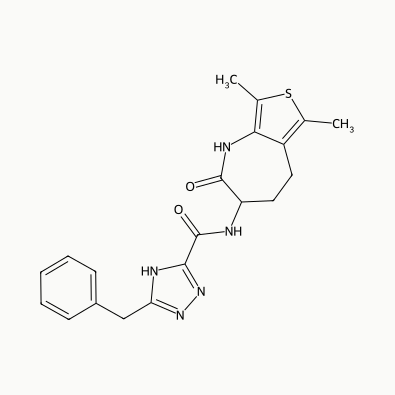 Cc1sc(C)c2c1CCC(NC(=O)c1nnc(Cc3ccccc3)[nH]1)C(=O)N2